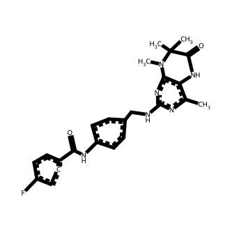 Cc1nc(NCc2ccc(NC(=O)c3ccc(F)cc3)cc2)nc2c1NC(=O)C(C)(C)N2C